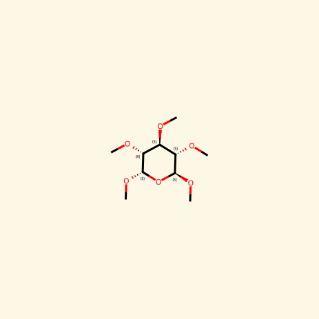 CO[C@H]1O[C@H](OC)[C@H](OC)[C@@H](OC)[C@@H]1OC